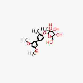 COc1cc(OC)cc(-c2ccc(O[C@H]3OC(CO)[C@@H](O)C(O)[C@]3(C)O)c(C)c2)c1